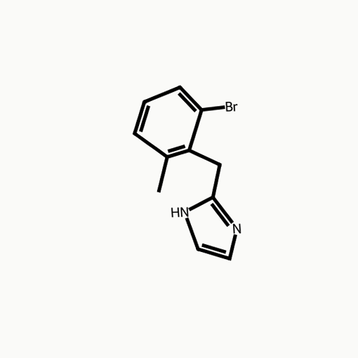 Cc1cccc(Br)c1Cc1ncc[nH]1